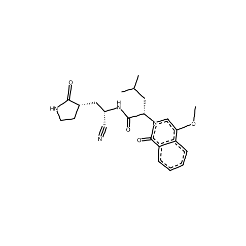 COc1cn([C@@H](CC(C)C)C(=O)N[C@H](C#N)C[C@@H]2CCNC2=O)c(=O)c2ccccc12